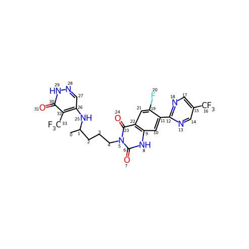 CC(CCCn1c(=O)[nH]c2cc(-c3ncc(C(F)(F)F)cn3)c(F)cc2c1=O)Nc1cn[nH]c(=O)c1C(F)(F)F